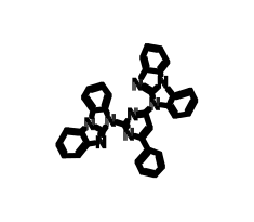 c1ccc(-c2cc(-n3c4ccccc4n4c5ccccc5nc34)nc(-n3c4ccccc4n4c5ccccc5nc34)n2)cc1